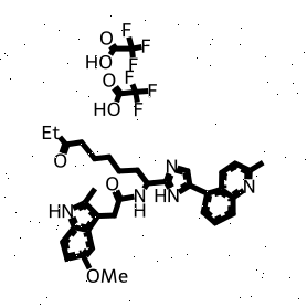 CCC(=O)CCCCCC(NC(=O)Cc1c(C)[nH]c2ccc(OC)cc12)c1ncc(-c2cccc3nc(C)ccc23)[nH]1.O=C(O)C(F)(F)F.O=C(O)C(F)(F)F